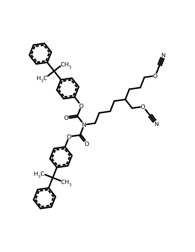 CC(C)(c1ccccc1)c1ccc(OC(=O)N(CCCCC(CCCOC#N)COC#N)C(=O)Oc2ccc(C(C)(C)c3ccccc3)cc2)cc1